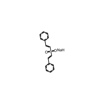 O=S(=O)(C=Cc1ccccc1)C=Cc1ccccc1.[NaH]